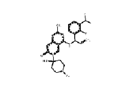 C=CC(Nc1nc(C)nc2cc(=O)n(C3(C)CCN(C(C)=O)CC3)cc12)c1cccc(C(F)F)c1F